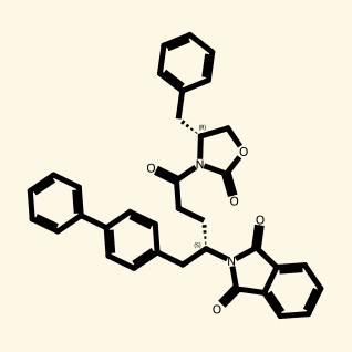 O=C(CC[C@@H](Cc1ccc(-c2ccccc2)cc1)N1C(=O)c2ccccc2C1=O)N1C(=O)OC[C@H]1Cc1ccccc1